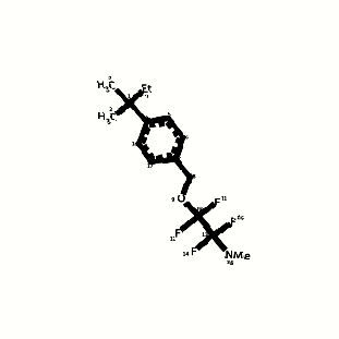 CCC(C)(C)c1ccc(COC(F)(F)C(F)(F)NC)cc1